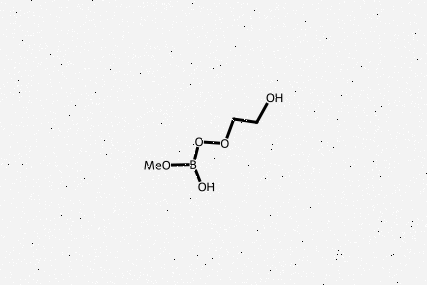 COB(O)OOCCO